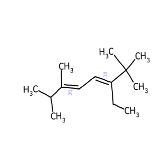 CC/C(=C\C=C(/C)C(C)C)C(C)(C)C